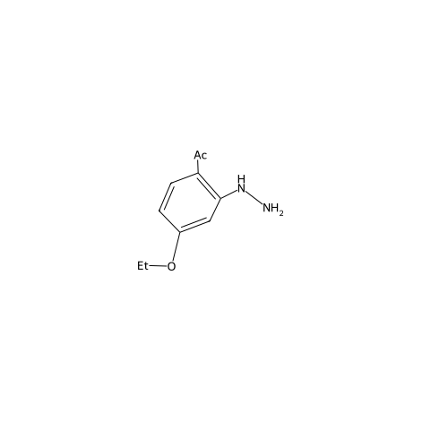 CCOc1ccc(C(C)=O)c(NN)c1